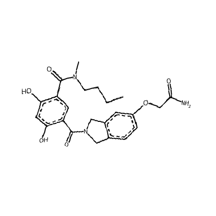 CCCCN(C)C(=O)c1cc(C(=O)N2Cc3ccc(OCC(N)=O)cc3C2)c(O)cc1O